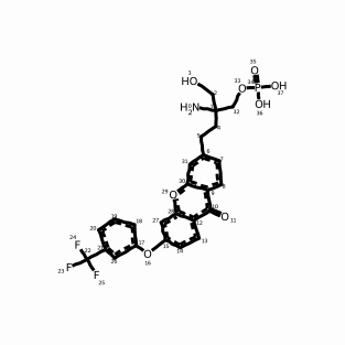 NC(CO)(CCc1ccc2c(=O)c3ccc(Oc4cccc(C(F)(F)F)c4)cc3oc2c1)COP(=O)(O)O